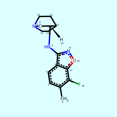 Cc1ccc2c(N[C@@H]3CN4CCC3CC4)noc2c1F